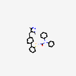 CCCc1n[nH]c(C(=O)O)c1Cc1ccc(-c2ccccc2S(=O)(=O)NC(=O)N(c2ccccc2)c2ccccc2)cc1